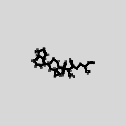 CCCCC(C#N)CCC(=O)N(C)S(=O)(=O)N1CCN(c2ncnc3[nH]ccc23)CC12CC2